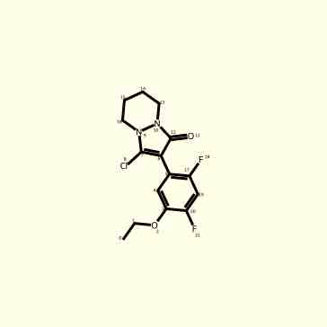 CCOc1cc(-c2c(Cl)n3n(c2=O)CCCC3)c(F)cc1F